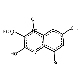 CCOC(=O)c1c(O)nc2c(Br)cc(C)cc2[n+]1[O-]